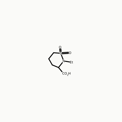 CCN1C(C(=O)O)CCCS1(=O)=O